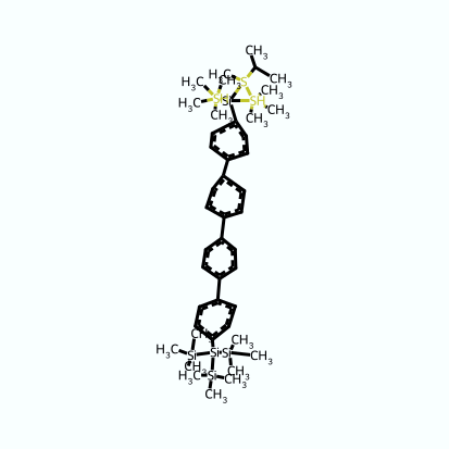 CC(C)S1(C)[Si](c2ccc(-c3ccc(-c4ccc(-c5ccc([Si]([Si](C)(C)C)([Si](C)(C)C)[Si](C)(C)C)cc5)cc4)cc3)cc2)([SH](C)(C)(C)C)[SH]1(C)(C)C